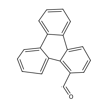 O=[C]c1cccc2c3ccccc3c3ccccc3c12